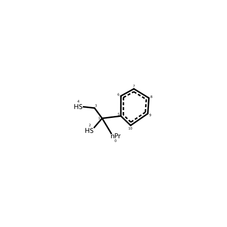 CCCC(S)(CS)c1ccccc1